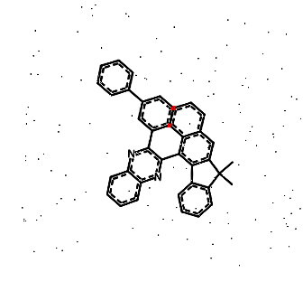 CC1(C)c2ccccc2-c2c1cc1ccccc1c2-c1nc2ccccc2nc1-c1cccc(-c2ccccc2)c1